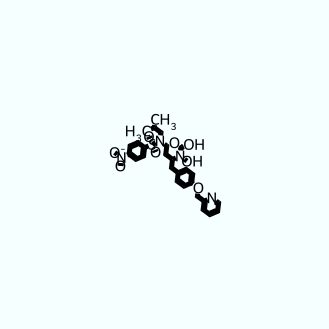 CC(C)CN(CCC(Cc1ccc(OCc2ccccn2)cc1)N(O)C(=O)O)S(=O)(=O)c1ccc([N+](=O)[O-])cc1